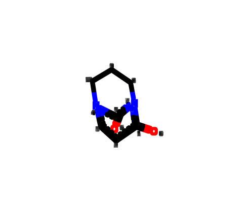 O=c1ccn2c(=O)n1CCC2